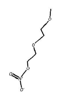 COCCOCCO[N+](=O)[O-]